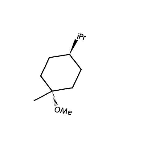 CO[C@]1(C)CC[C@@H](C(C)C)CC1